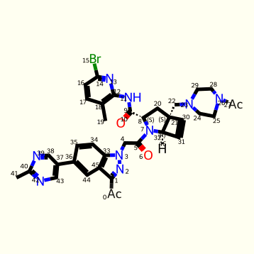 CC(=O)c1nn(CC(=O)N2[C@H](C(=O)Nc3nc(Br)ccc3C)C[C@@]3(CN4CCN(C(C)=O)CC4)C#C[C@@H]23)c2ccc(-c3cnc(C)nc3)cc12